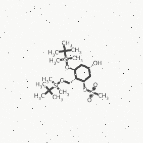 CC(C)(C)[Si](C)(C)OC[C@@H]1[C@@H](O[Si](C)(C)C(C)(C)C)C[C@H](O)C[C@H]1OS(C)(=O)=O